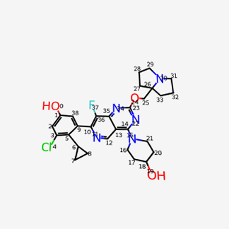 Oc1cc(Cl)c(C2CC2)c(-c2ncc3c(N4CCC(O)CC4)nc(OCC45CCCN4CCC5)nc3c2F)c1